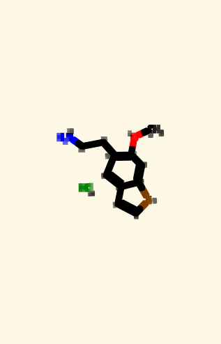 COc1cc2sccc2cc1CCN.Cl